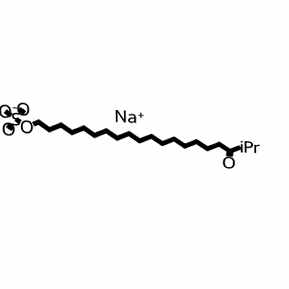 CC(C)C(=O)CCCCCCCCCCCCCCCCCOS(=O)(=O)[O-].[Na+]